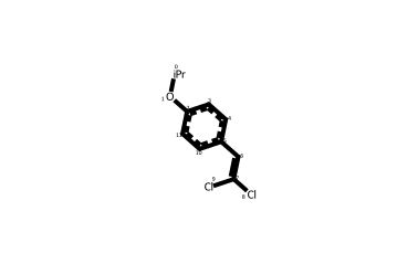 CC(C)Oc1ccc(C=C(Cl)Cl)cc1